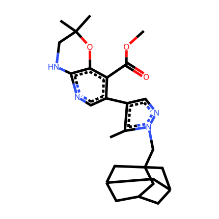 COC(=O)c1c(-c2cnn(CC34CC5CC(CC(C5)C3)C4)c2C)cnc2c1OC(C)(C)CN2